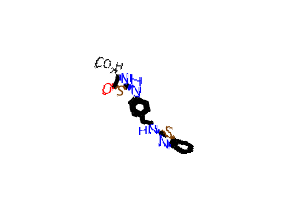 O=C(O)C[C@@H]1N/C(=N/c2ccc(CCNc3nc4ccccc4s3)cc2)SC1=O